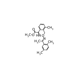 COC(=O)C(=N)c1cccc(C)c1CO/N=C(\C)c1cc(C)ccc1C